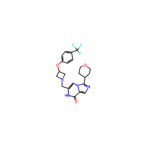 O=c1[nH]c(CN2CC(Oc3ccc(C(F)(F)F)cc3)C2)cn2c(C3CCOCC3)ncc12